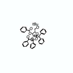 CC(C)(C)OC[C@H]1OC(OC(=O)c2ccccc2)([SiH](c2ccccc2)c2ccccc2)[C@H](OC(=O)c2ccccc2)[C@@H]1OC(=O)c1ccccc1